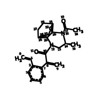 C=Cc1ccccc1C(=C)C(=O)N1C[C@H](C)N(C(C)=O)C2=C3CCCC(=C21)CC3